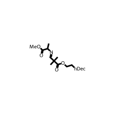 CCCCCCCCCCCCOC(=O)C(C)(C)/C=N/C(C)C(=O)OC